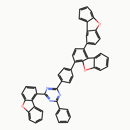 c1ccc(-c2nc(-c3ccc(-c4ccc(-c5ccc6oc7ccccc7c6c5)c5c4oc4ccccc45)cc3)nc(-c3cccc4oc5ccccc5c34)n2)cc1